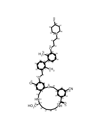 Cc1c(COc2cc3c(cc2Cl)CN[C@H](C(=O)O)CCCCNC(=O)c2cc(C#N)cc(c2)CO3)cccc1-c1cccc(OCCCN2CCC(F)CC2)c1C